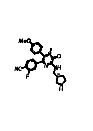 COc1ccc(-c2c(-c3ccc(C#N)c(F)c3)nc(NC[C@H]3CCNC3)c(=O)n2C)cc1